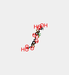 COc1cc2sc(C(=O)CCC(=O)O)cc2cc1CCCOc1c(OC)cc2sc(C(=O)C[C@H](C)C(O)O)cc2c1F